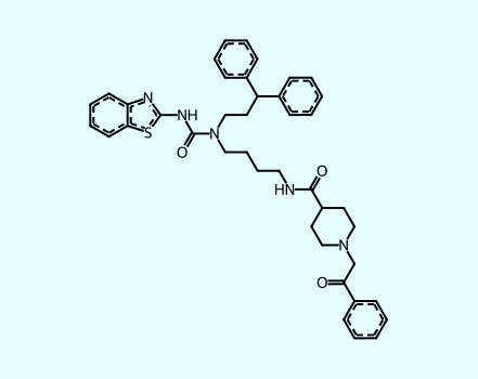 O=C(CN1CCC(C(=O)NCCCCN(CCC(c2ccccc2)c2ccccc2)C(=O)Nc2nc3ccccc3s2)CC1)c1ccccc1